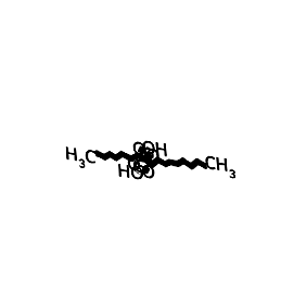 CCCCCCCCCCC(CCCCCCCC)(S(=O)(=O)O)S(=O)(=O)O